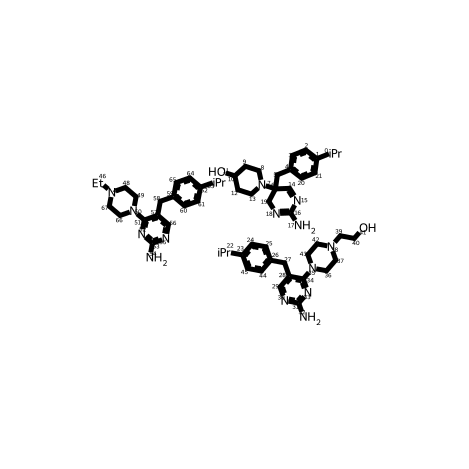 CC(C)c1ccc(CC2(N3CCC(O)CC3)C=NC(N)=NC2)cc1.CC(C)c1ccc(Cc2cnc(N)nc2N2CCN(CCO)CC2)cc1.CCN1CCN(c2nc(N)ncc2Cc2ccc(C(C)C)cc2)CC1